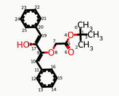 CC(C)(C)OC(=O)COC(=Cc1ccccc1)C(O)=Cc1ccccc1